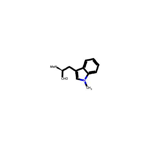 CN[C@H](C=O)Cc1cn(C)c2ccccc12